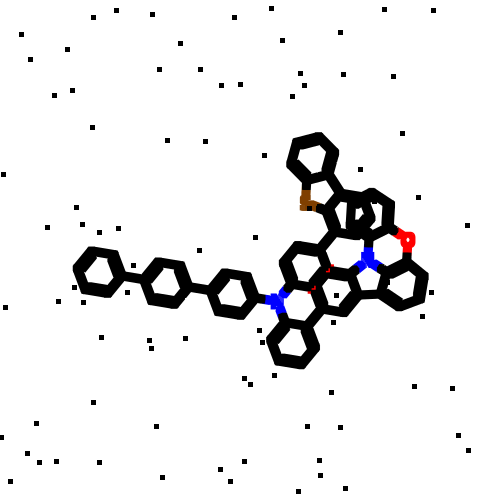 c1ccc(-c2ccc(-c3ccc(N(c4ccc(-c5cccc6c5sc5ccccc56)cc4)c4ccccc4-c4ccc5c(c4)c4cccc6c4n5-c4ccccc4O6)cc3)cc2)cc1